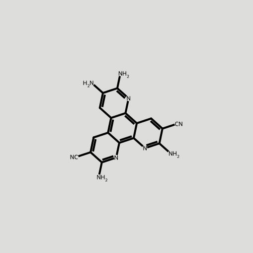 N#Cc1cc2c3cc(N)c(N)nc3c3cc(C#N)c(N)nc3c2nc1N